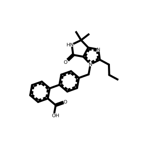 CCCc1nc2c(n1Cc1ccc(-c3ccccc3C(=O)O)cc1)C(=O)NC2(C)C